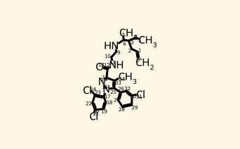 C=CCC(CC)C(C)NCCNC(=O)c1nn(-c2ccc(Cl)cc2Cl)c(-c2cccc(Cl)c2)c1C